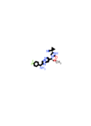 COC[C@H](c1cnn2cc([C@@H](N)C3CCC(F)(F)CC3)nc2c1)N1C[C@@H](C2(C#N)CC2)NC1=O